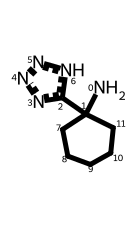 NC1(c2nnn[nH]2)CCCCC1